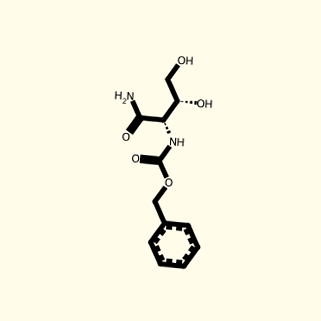 NC(=O)[C@@H](NC(=O)OCc1ccccc1)[C@@H](O)CO